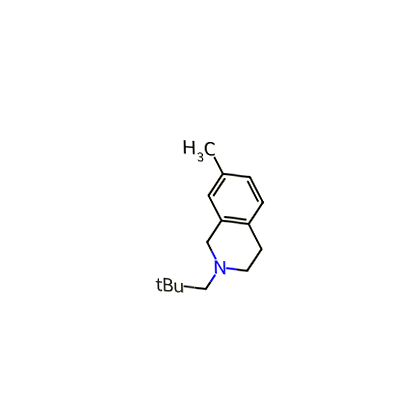 Cc1ccc2c(c1)CN(CC(C)(C)C)CC2